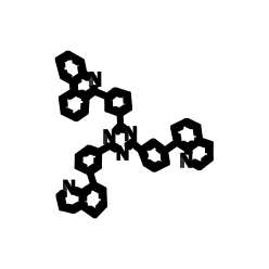 c1cc(-c2nc(-c3cccc(-c4cccc5cccnc45)c3)nc(-c3cccc(-c4cccc5cccnc45)c3)n2)cc(-c2nc3ccccc3c3ccccc23)c1